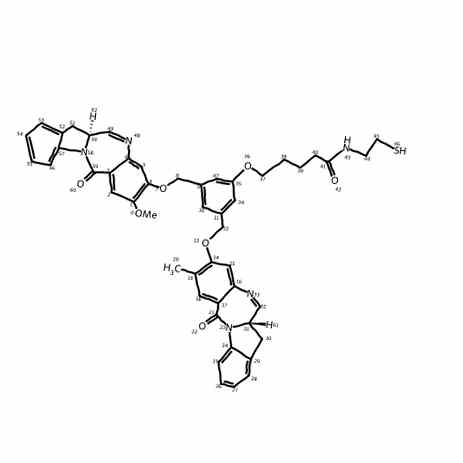 COc1cc2c(cc1OCc1cc(COc3cc4c(cc3C)C(=O)N3c5ccccc5C[C@H]3C=N4)cc(OCCCCC(=O)NCCS)c1)N=C[C@@H]1Cc3ccccc3N1C2=O